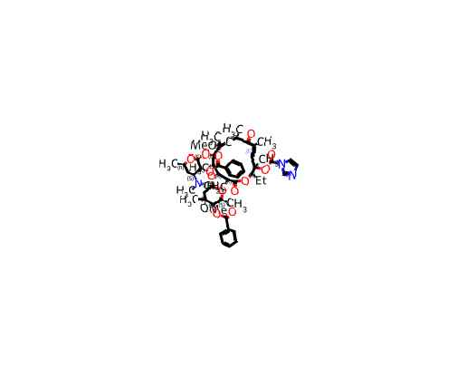 CC[C@H]1OC(=O)[C@H](C)[C@H](O[C@H]2C[C@@](C)(OC)[C@@H](OC(=O)c3ccccc3)[C@H](C)O2)[C@H](C)[C@@H](O[C@@H]2O[C@H](C)C[C@H](N(C)C)[C@H]2OC(=O)c2ccccc2)[C@@](C)(OC)C[C@@H](C)C(=O)/C(C)=C/[C@]1(C)OC(=O)n1ccnc1